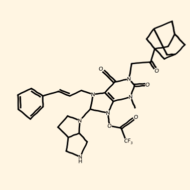 Cn1c2c(c(=O)n(CC(=O)C34CC5CC(CC(C5)C3)C4)c1=O)N(CC=Cc1ccccc1)C(N1CCC3CNCC31)N2OC(=O)C(F)(F)F